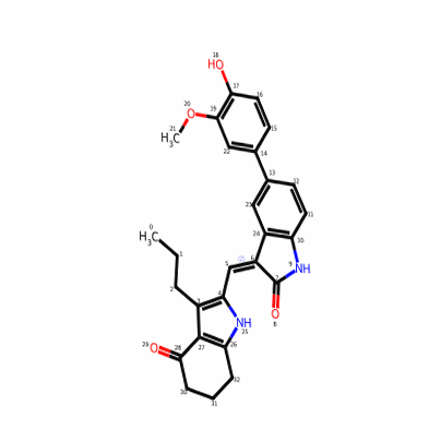 CCCc1c(/C=C2\C(=O)Nc3ccc(-c4ccc(O)c(OC)c4)cc32)[nH]c2c1C(=O)CCC2